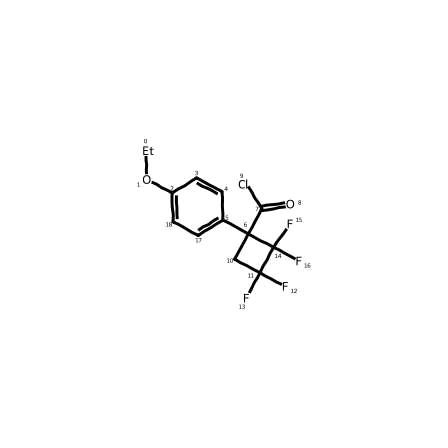 CCOc1ccc(C2(C(=O)Cl)CC(F)(F)C2(F)F)cc1